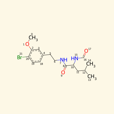 COc1cc(CCNC(=O)C(CC(C)C)NC=O)ccc1Br